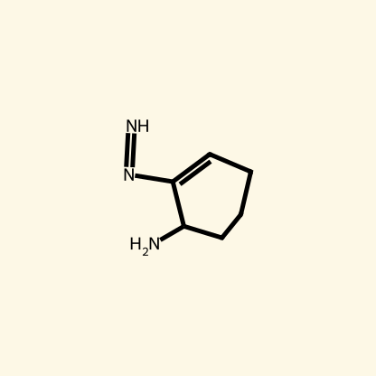 N=NC1=CCCCC1N